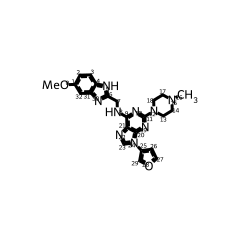 COc1ccc2[nH]c(CNc3nc(N4CCN(C)CC4)nc4c3ncn4-c3ccoc3)nc2c1